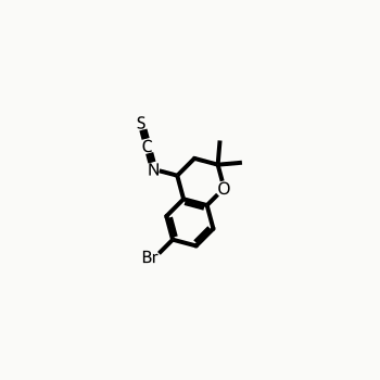 CC1(C)CC(N=C=S)c2cc(Br)ccc2O1